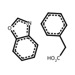 O=C(O)Cc1ccccc1.c1ccc2ocnc2c1